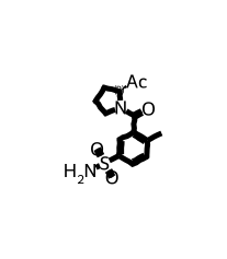 CC(=O)[C@H]1CCCN1C(=O)c1cc(S(N)(=O)=O)ccc1C